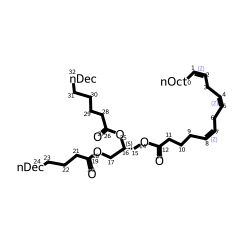 CCCCCCCC/C=C\C/C=C\C/C=C\CCCC(=O)OC[C@H](COC(=O)CCCCCCCCCCCCC)OC(=O)CCCCCCCCCCCCCC